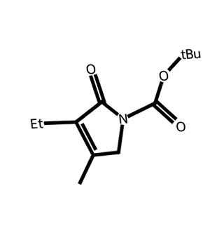 CCC1=C(C)CN(C(=O)OC(C)(C)C)C1=O